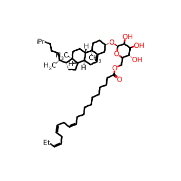 CC/C=C\C/C=C\C/C=C\CCCCCCCCCC(=O)OCC1O[C@@H](O[C@H]2CC[C@@]3(C)C(=CC[C@H]4[C@@H]5CC[C@H]([C@H](C)CCCC(C)C)[C@@]5(C)CC[C@@H]43)C2)C(O)C(O)[C@@H]1O